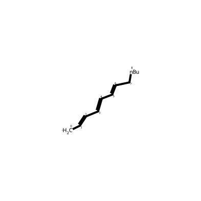 [CH2]C=CC=CC=CCCCCC